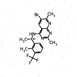 Cc1nc(N[C@H](C)c2cccc(C(F)(F)F)c2C)c2cc(Br)c(C)nc2n1